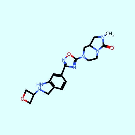 CN1CC2CN(c3nc(-c4ccc5c(c4)NN(C4COC4)C5)no3)CCN2C1=O